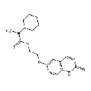 CN(C(=S)CCCOc1ccc2[nH]c(=S)ccc2c1)C1CCCCC1